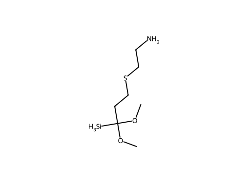 COC([SiH3])(CCSCCN)OC